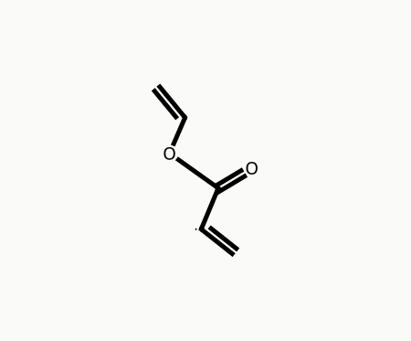 C=[C]C(=O)OC=C